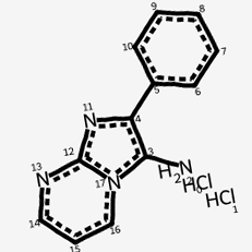 Cl.Cl.Nc1c(-c2ccccc2)nc2ncccn12